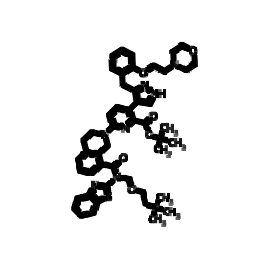 CC(C)(C)OC(=O)c1nc(N2CCc3cccc(C(=O)N(COCC[Si](C)(C)C)c4nc5ccccc5s4)c3C2)ccc1-c1c[nH]nc1Cc1ccccc1OCCN1CCOCC1